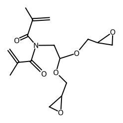 C=C(C)C(=O)N(CC(OCC1CO1)OCC1CO1)C(=O)C(=C)C